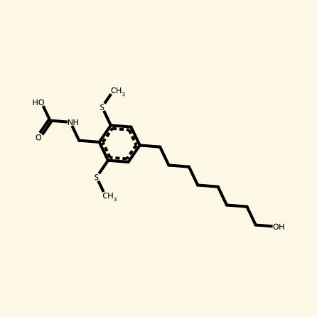 CSc1cc(CCCCCCCCO)cc(SC)c1CNC(=O)O